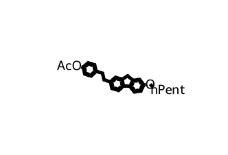 CCCCCOc1ccc2c(c1)Cc1cc(CCc3ccc(OC(C)=O)cc3)ccc1-2